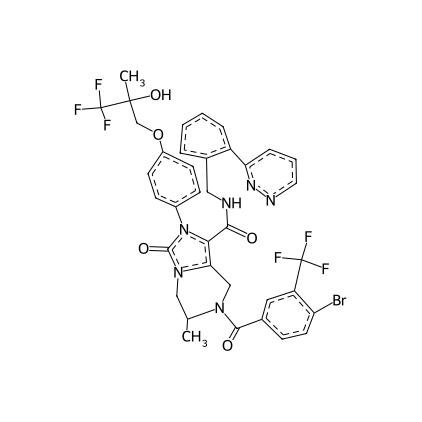 CC1Cn2c(c(C(=O)NCc3ccccc3-c3cccnn3)n(-c3ccc(OCC(C)(O)C(F)(F)F)cc3)c2=O)CN1C(=O)c1ccc(Br)c(C(F)(F)F)c1